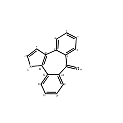 O=c1c2ccccc2c2ccsc2c2ccccc12